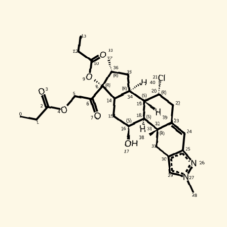 CCC(=O)OCC(=O)[C@]1(OC(=O)CC)C2C[C@H](O)[C@H]3[C@@H]([C@H](Cl)CC4=Cc5nn(C)cc5C[C@@]43C)[C@@H]2C[C@H]1C